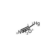 N#[C][Hg].O